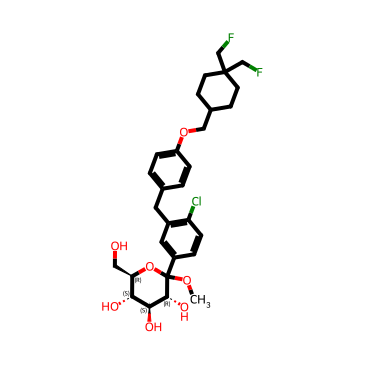 COC1(c2ccc(Cl)c(Cc3ccc(OCC4CCC(CF)(CF)CC4)cc3)c2)O[C@H](CO)[C@@H](O)[C@H](O)[C@H]1O